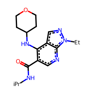 CCn1ncc2c(NC3CCOCC3)c(C(=O)NC(C)C)cnc21